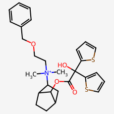 C[N+](C)(CCOCc1ccccc1)C1CC2CCC1C2OC(=O)C(O)(c1cccs1)c1cccs1